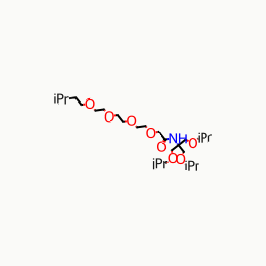 CC(C)CCOCCOCCOCCOCC(=O)NC(COC(C)C)(COC(C)C)COC(C)C